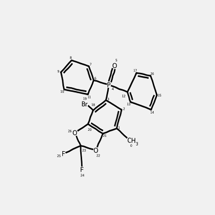 Cc1cc(P(=O)(c2ccccc2)c2ccccc2)c(Br)c2c1OC(F)(F)O2